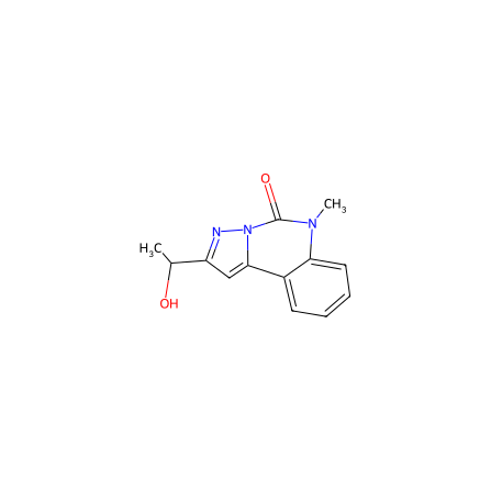 CC(O)c1cc2c3ccccc3n(C)c(=O)n2n1